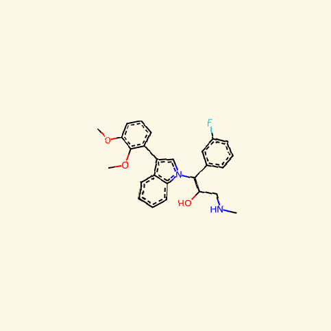 CNCC(O)C(c1cccc(F)c1)n1cc(-c2cccc(OC)c2OC)c2ccccc21